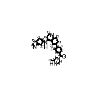 CC1CN(C(=O)c2ccc(-c3ccc4nccc(Nc5ccc6scnc6c5)c4c3)c(F)c2)CCN1